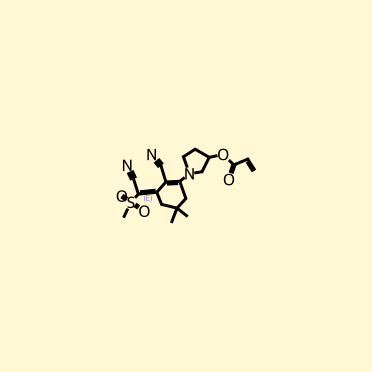 C=CC(=O)OC1CCN(C2=C(C#N)/C(=C(\C#N)S(C)(=O)=O)CC(C)(C)C2)C1